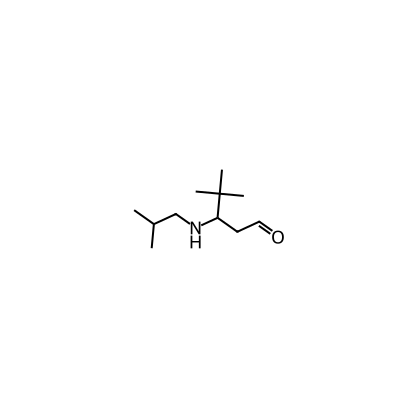 CC(C)CNC(CC=O)C(C)(C)C